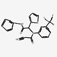 C#CC(=O)N(c1cccc(C(F)(F)F)c1)C(C(=O)Nc1ccccc1)c1cccs1